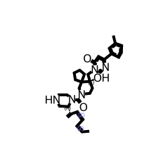 C=C(/C=C\C=C/C)[C@@H]1CNCCN1C(=O)N1CC[C@@](O)(Cn2cnc(-c3cccc(C)c3)cc2=O)C2(CCCC2)C1